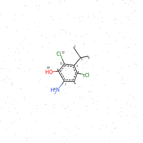 CC(C)c1c(Cl)cc(N)c(O)c1Cl